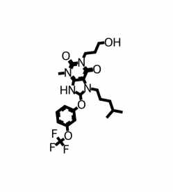 CC(C)CCCN1c2c(n(C)c(=O)n(CCCO)c2=O)NC1Oc1cccc(OC(F)(F)F)c1